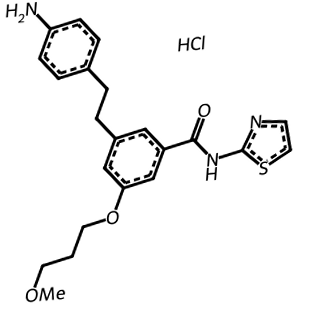 COCCCOc1cc(CCc2ccc(N)cc2)cc(C(=O)Nc2nccs2)c1.Cl